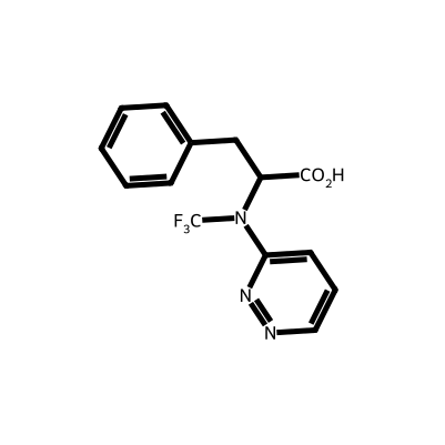 O=C(O)C(Cc1ccccc1)N(c1cccnn1)C(F)(F)F